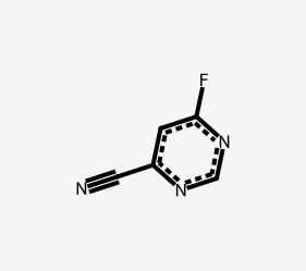 N#Cc1cc(F)ncn1